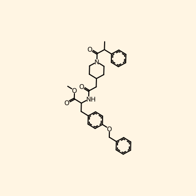 COC(=O)C(Cc1ccc(OCc2ccccc2)cc1)NC(=O)CC1CCN(C(=O)C(C)c2ccccc2)CC1